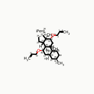 C=CCO[C@H]1C[C@H]2[C@@H]([C@H](OCC=C)C[C@@H]3C[C@H](C)CC[C@@]32C)[C@@H]2CC[C@H]([C@H](C)CCC)[C@@]12C